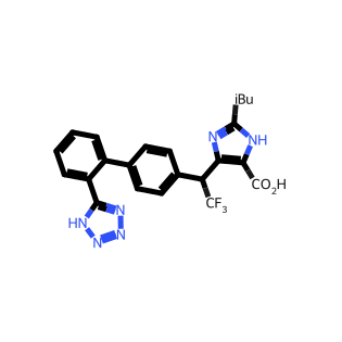 CCC(C)c1nc(C(c2ccc(-c3ccccc3-c3nnn[nH]3)cc2)C(F)(F)F)c(C(=O)O)[nH]1